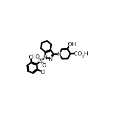 O=C(O)C1CCN(c2nn(S(=O)(=O)c3c(Cl)cccc3Cl)c3c2CCCC3)CC1O